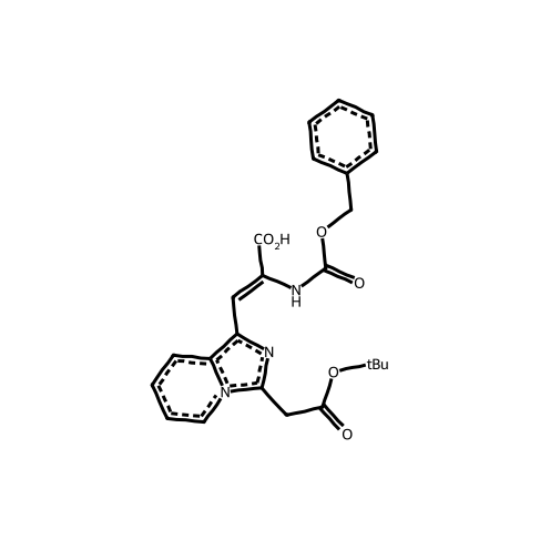 CC(C)(C)OC(=O)Cc1nc(C=C(NC(=O)OCc2ccccc2)C(=O)O)c2ccccn12